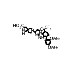 COc1ccc(-c2ccc([C@@H](Oc3cc(N4CCC5(CC4)CN[C@H](C(=O)O)C5)nc(N)n3)C(F)(F)F)cc2)c(OC)c1